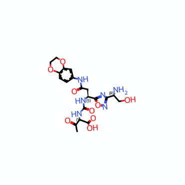 CC(=O)[C@H](NC(=O)N[C@@H](CC(=O)Nc1ccc2c(c1)OCCO2)c1nc([C@@H](N)CO)no1)C(=O)O